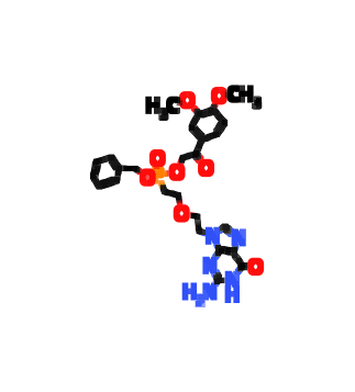 COc1ccc(C(=O)COP(=O)(CCOCCn2cnc3c(=O)[nH]c(N)nc32)OCc2ccccc2)cc1OC